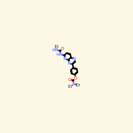 CCNC(=O)Nc1ccc2ncc(-c3ccc(OC(=O)N(CC)CC)cc3)nc2n1